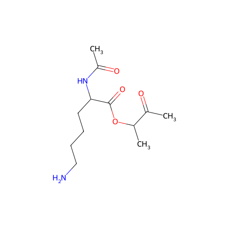 CC(=O)NC(CCCCN)C(=O)OC(C)C(C)=O